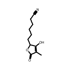 CC1=C(O)C(CCCCCC#N)OC1=O